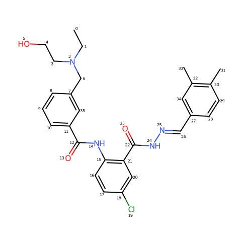 CCN(CCO)Cc1cccc(C(=O)Nc2ccc(Cl)cc2C(=O)N/N=C/c2ccc(C)c(C)c2)c1